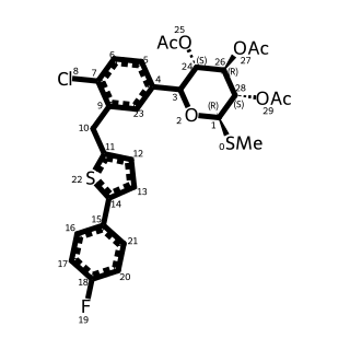 CS[C@H]1OC(c2ccc(Cl)c(Cc3ccc(-c4ccc(F)cc4)s3)c2)[C@H](OC(C)=O)[C@@H](OC(C)=O)[C@@H]1OC(C)=O